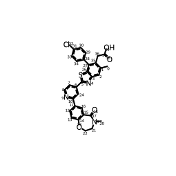 Cc1cc2nc(-c3ccnc(-c4ccc5c(c4)C(=O)N(C)CCO5)c3)sc2c(-c2ccc(Cl)cc2)c1CC(=O)O